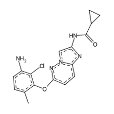 Cc1ccc(N)c(Cl)c1Oc1ccc2nc(NC(=O)C3CC3)cn2n1